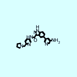 Nc1cncc(-c2ccc3[nH]nc(C(=O)Nc4ccc(CN5CCCC5)nc4)c3c2)c1